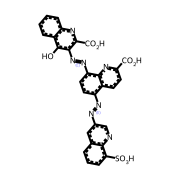 O=C(O)c1ccc2c(/N=N/c3cnc4c(S(=O)(=O)O)cccc4c3)ccc(/N=N/c3c(C(=O)O)nc4ccccc4c3O)c2n1